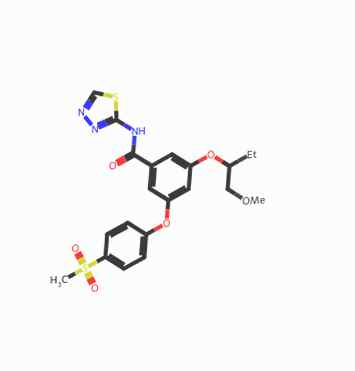 CCC(COC)Oc1cc(Oc2ccc(S(C)(=O)=O)cc2)cc(C(=O)Nc2nncs2)c1